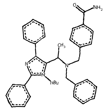 CCCCn1c(-c2ccccc2)nc(-c2ccccc2)c1C(C)N(Cc1ccccc1)Cc1ccc(C(N)=O)cc1